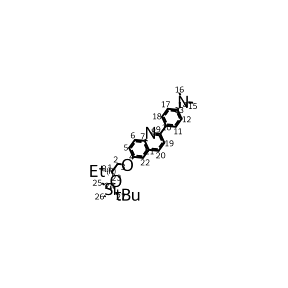 CC[C@H](COc1ccc2nc(-c3ccc(N(C)C)cc3)ccc2c1)O[Si](C)(C)C(C)(C)C